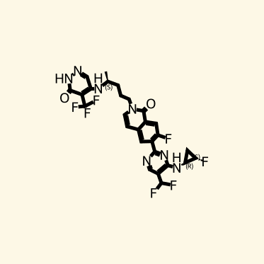 C[C@@H](CCCn1ccc2cc(-c3ncc(C(F)F)c(N[C@@H]4C[C@@H]4F)n3)c(F)cc2c1=O)Nc1cn[nH]c(=O)c1C(F)(F)F